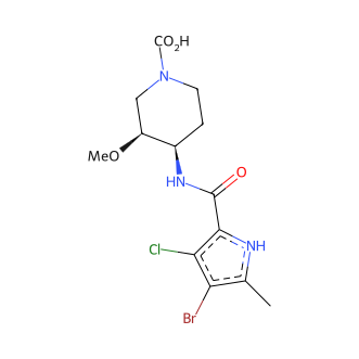 CO[C@H]1CN(C(=O)O)CC[C@H]1NC(=O)c1[nH]c(C)c(Br)c1Cl